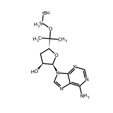 CC(C)(C)[SiH2]OC(C)(C)[C@H]1C[C@H](O)[C@H](n2cnc3c(N)ncnc32)O1